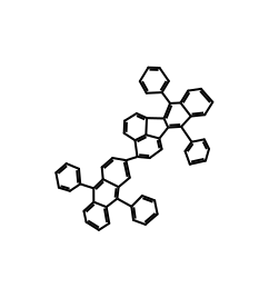 c1ccc(-c2c3c(c(-c4ccccc4)c4ccccc24)-c2ccc(-c4ccc5c(-c6ccccc6)c6ccccc6c(-c6ccccc6)c5c4)c4cccc-3c24)cc1